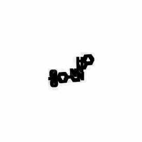 CS(=O)(=O)c1ccc(-c2ccnc(NCc3ccccc3)n2)cc1